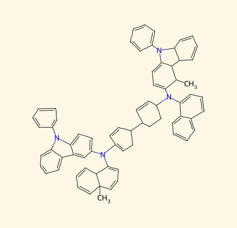 CC1C(N(c2cccc3ccccc23)C2C=CC(C3C=CC(N(C4=CC=CC5(C)C=CC=CC45)c4ccc5c(c4)c4ccccc4n5-c4ccccc4)=CC3)CC2)=CC=C2C1C1C=CC=CC1N2c1ccccc1